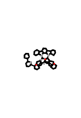 c1ccc(-c2cc(-c3ccccc3)cc(-n3c4ccccc4c4ccc5c6ccccc6n(-c6nc(-c7ccccc7)nc(-c7cccc(-c8cccc(-c9ccccc9)n8)c7)n6)c5c43)c2)cc1